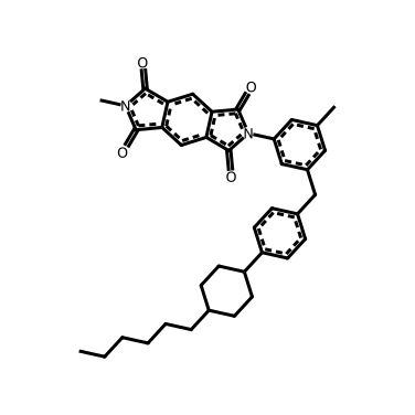 CCCCCCC1CCC(c2ccc(Cc3cc(C)cc(-n4c(=O)c5cc6c(=O)n(C)c(=O)c6cc5c4=O)c3)cc2)CC1